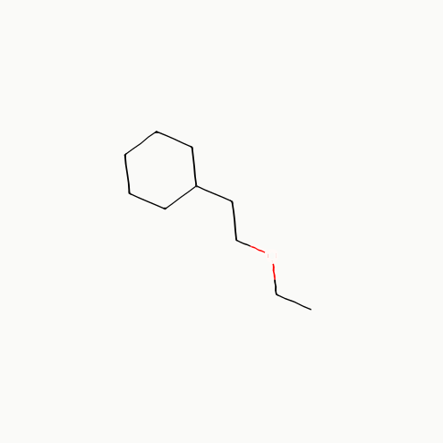 [CH2]COCCC1CCCCC1